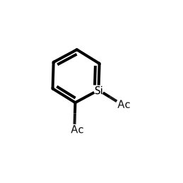 CC(=O)c1cccc[si]1C(C)=O